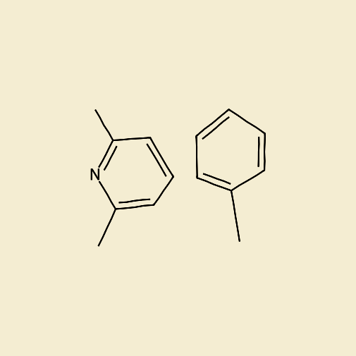 Cc1cccc(C)n1.Cc1ccccc1